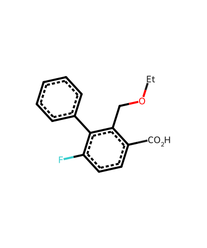 CCOCc1c(C(=O)O)ccc(F)c1-c1ccccc1